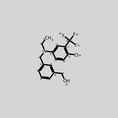 CCN(Cc1cccc(CO)c1)c1ccc(Cl)c(C(F)(F)F)c1